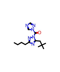 CCCCc1nc(CC(C)(C)C)n(C(=O)n2cncn2)n1